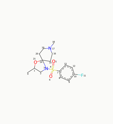 CC1CN(S(=O)(=O)c2ccc(F)cc2)C2(CCN(C)CC2)O1